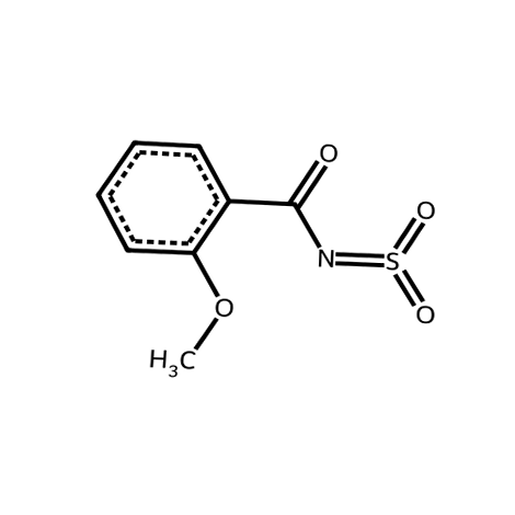 COc1ccccc1C(=O)N=S(=O)=O